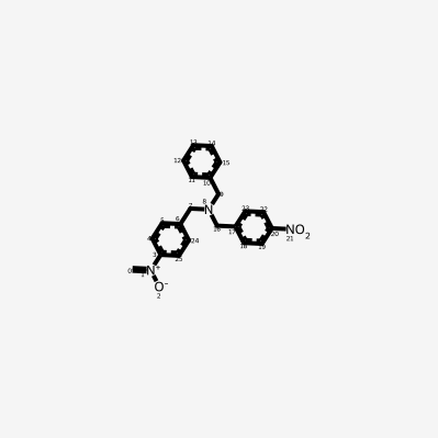 C=[N+]([O-])c1ccc(CN(Cc2ccccc2)Cc2ccc([N+](=O)[O-])cc2)cc1